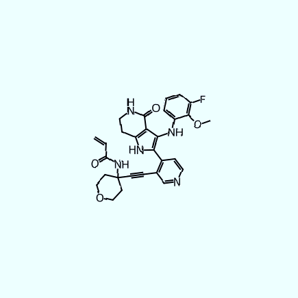 C=CC(=O)NC1(C#Cc2cnccc2-c2[nH]c3c(c2Nc2cccc(F)c2OC)C(=O)NCC3)CCOCC1